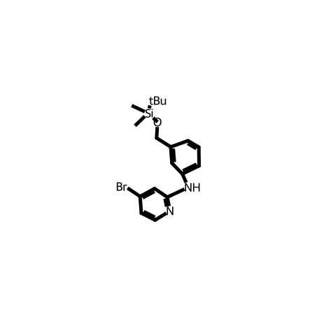 CC(C)(C)[Si](C)(C)OCc1cccc(Nc2cc(Br)ccn2)c1